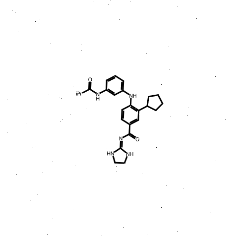 CC(C)C(=O)Nc1cccc(Nc2ccc(C(=O)N=C3NCCN3)cc2C2CCCC2)c1